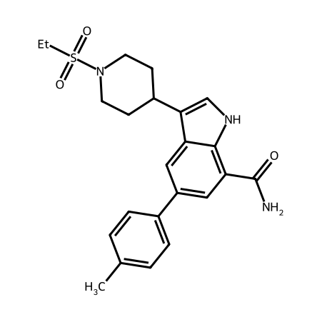 CCS(=O)(=O)N1CCC(c2c[nH]c3c(C(N)=O)cc(-c4ccc(C)cc4)cc23)CC1